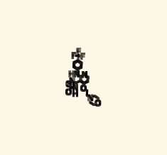 O=c1[nH]c(-c2c(OCCN3CCOCC3)ccnc2Nc2ccc(C(F)(F)F)cc2)no1